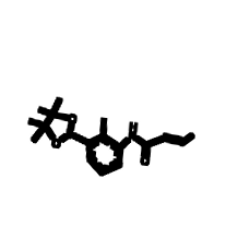 CC=CC(=O)Nc1cccc(B2OC(C)(C)C(C)(C)O2)c1C